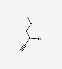 C#CC(N)COC